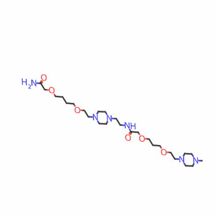 CN1CCN(CCOCCCOCC(=O)NCCN2CCN(CCOCCCCOCC(N)=O)CC2)CC1